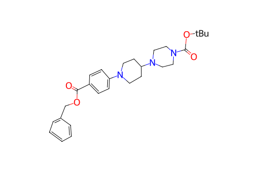 CC(C)(C)OC(=O)N1CCN(C2CCN(c3ccc(C(=O)OCc4ccccc4)cc3)CC2)CC1